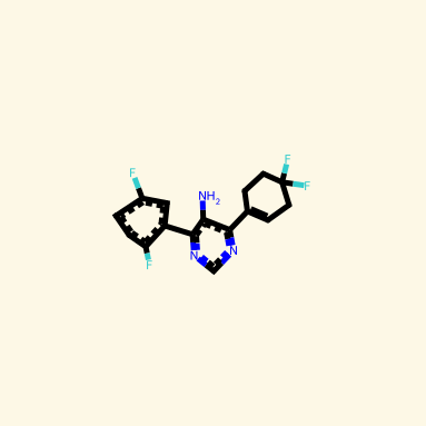 Nc1c(C2=CCC(F)(F)CC2)ncnc1-c1cc(F)ccc1F